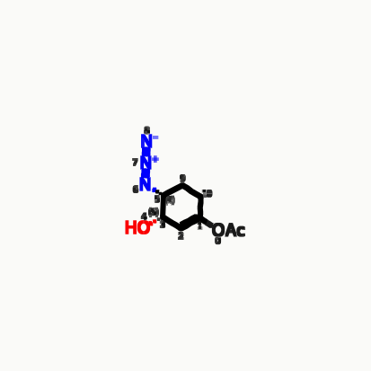 CC(=O)OC1=C[C@H](O)[C@H](N=[N+]=[N-])CC1